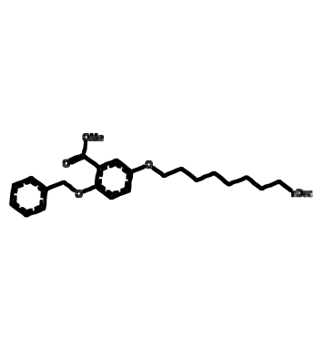 CCCCCCCCCCCCCCCCCCOc1ccc(OCc2ccccc2)c(C(=O)OC)c1